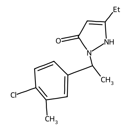 CCc1cc(=O)n(C(C)c2ccc(Cl)c(C)c2)[nH]1